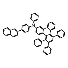 c1ccc(-c2cc(-c3ccccc3)c3c4ccccc4c4cc(N(c5ccccc5)c5ccc(-c6ccc7ccccc7c6)cc5)ccc4c3c2-c2ccccc2)cc1